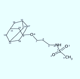 CS(=O)(=O)NCCCOC12CC3CC(CC(C3)C1)C2